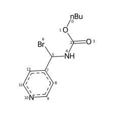 CCCCOC(=O)NC(Br)c1ccncc1